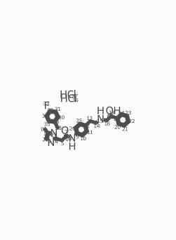 Cc1cnc(CC(=O)Nc2ccc(CCNC[C@H](O)c3ccccc3)cc2)n1Cc1ccc(F)cc1.Cl.Cl